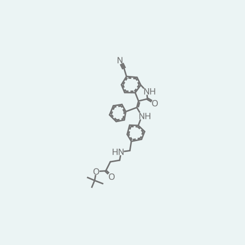 CC(C)(C)OC(=O)CCNCc1ccc(N/C(=C2\C(=O)Nc3cc(C#N)ccc32)c2ccccc2)cc1